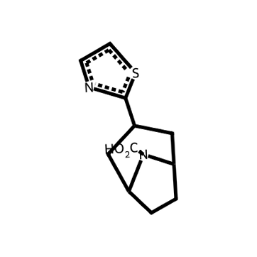 O=C(O)N1C2CCC1CC(c1nccs1)C2